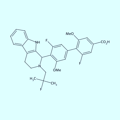 COc1cc(C(=O)O)cc(F)c1-c1cc(F)c(C2c3[nH]c4ccccc4c3CCN2CC(C)(C)F)c(OC)c1